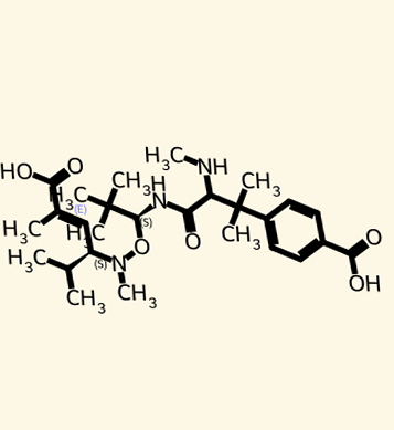 CNC(C(=O)N[C@@H](ON(C)[C@H](/C=C(\C)C(=O)O)C(C)C)C(C)(C)C)C(C)(C)c1ccc(C(=O)O)cc1